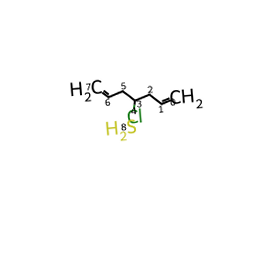 C=CCC(Cl)CC=C.S